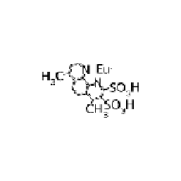 Cc1ccnc2c1ccc1c(C)c(S(=O)(=O)O)c(S(=O)(=O)O)nc12.[Eu]